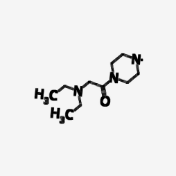 CCN(CC)CC(=O)N1CC[N]CC1